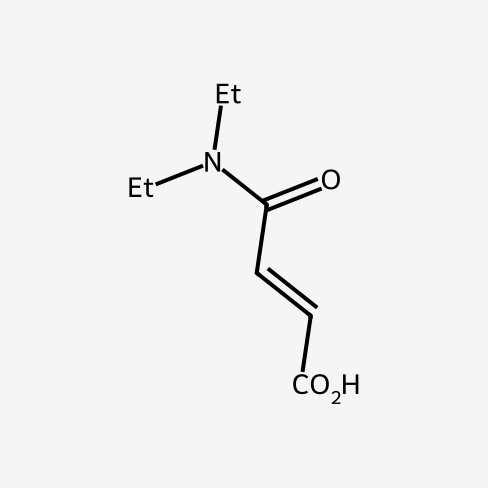 CCN(CC)C(=O)C=CC(=O)O